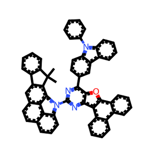 CC1(C)c2ccccc2-c2cc3ccc4cccc5c4c3c(c21)n5-c1nc(-c2ccc3c(c2)c2ccccc2n3-c2ccccc2)c2oc3c4ccccc4c4ccccc4c3c2n1